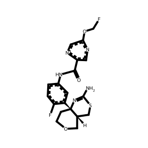 NC1=N[C@@]2(c3cc(NC(=O)c4cnc(OCF)cn4)ccc3F)CCOC[C@H]2CS1